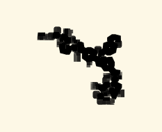 COC(=O)NC(C(=O)N1CCC[C@H]1c1ncc(-c2cc(F)c3c(c2)OC(c2ccc4c(c2)CCCO4)n2c-3cc3cc(-c4cnc([C@@H]5C[C@H]6C[C@H]6N5C(=O)C(NC(=O)OC)C(C)C)[nH]4)ccc32)[nH]1)C(C)C